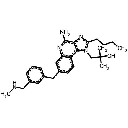 CCCCc1nc2c(N)nc3cc(Cc4cccc(CNC)c4)ccc3c2n1CC(C)(C)O